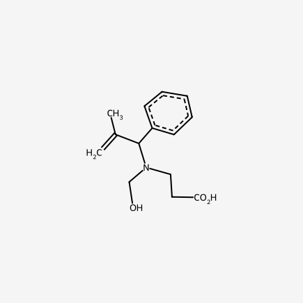 C=C(C)C(c1ccccc1)N(CO)CCC(=O)O